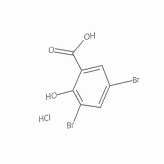 Cl.O=C(O)c1cc(Br)cc(Br)c1O